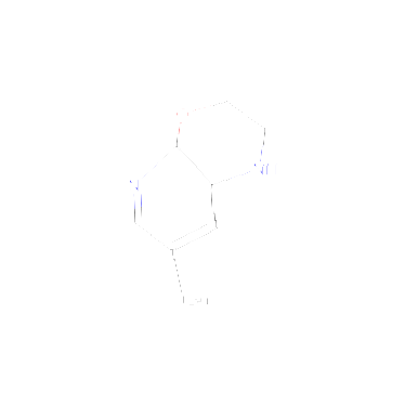 CC(C)(C)C1=CC2NCCOC2N=C1